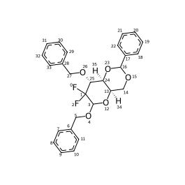 FC1(F)C(OCc2ccccc2)O[C@@H]2COC(c3ccccc3)O[C@@H]2[C@H]1OCc1ccccc1